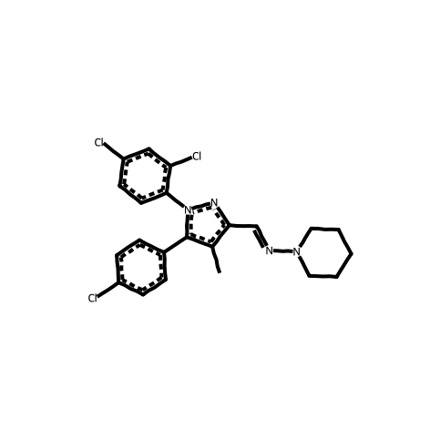 Cc1c(C=NN2CCCCC2)nn(-c2ccc(Cl)cc2Cl)c1-c1ccc(Cl)cc1